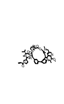 C=CC(=O)N1CCC(C(=O)N(C)[C@H](C(=O)N[C@H]2Cc3cccc(c3)-c3ccc4c(c3)c(c(-c3cc(CN(C)C)cnc3[C@H](C)OC)n4CC)CC(C)(C)COC(=O)[C@@H]3CCCN(N3)C2=O)C(C)C)C1